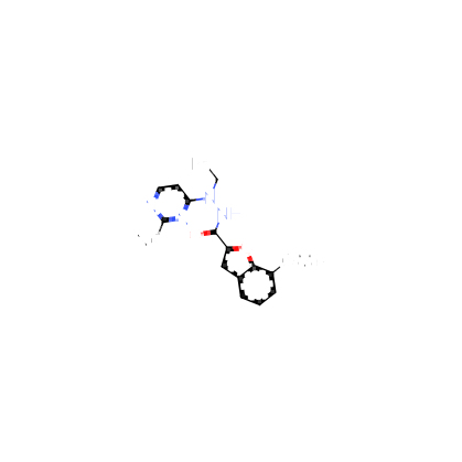 COc1cccc2cc(C(=O)NN(CC(C)C)c3ccnc(C#N)n3)oc12